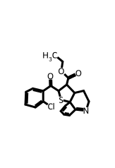 CCOC(=O)C1C(C(=O)c2ccccc2Cl)SC23C=CC=CC2=NCCC13